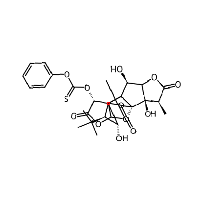 C[C@@H]1C(=O)OC2[C@H](O)C34C5OC(=O)[C@]3(OC3OC(=O)[C@H](OC(=S)Oc6ccccc6)C34[C@H](C(C)(C)C)[C@H]5O)[C@]21O